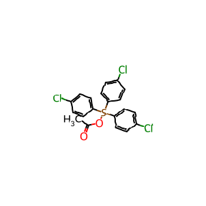 CC(=O)OS(c1ccc(Cl)cc1)(c1ccc(Cl)cc1)c1ccc(Cl)cc1